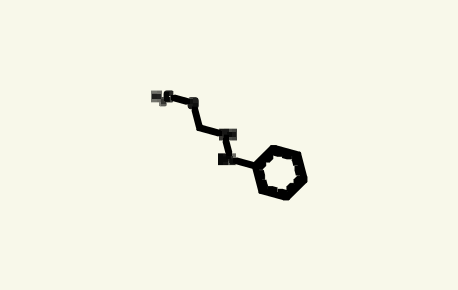 COCNNc1ccccc1